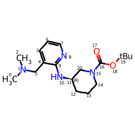 CN(C)Cc1cccnc1N[C@@H]1CCCN(C(=O)OC(C)(C)C)C1